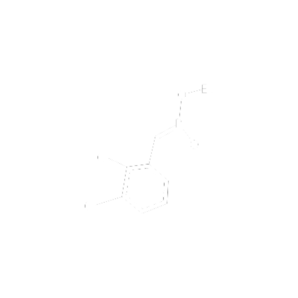 CCO/[P+]([O-])=C/c1cccc(Cl)c1Cl